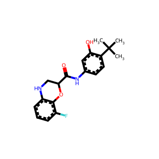 CC(C)(C)c1ccc(NC(=O)C2CNc3cccc(F)c3O2)cc1O